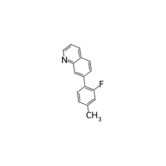 Cc1ccc(-c2ccc3cccnc3c2)c(F)c1